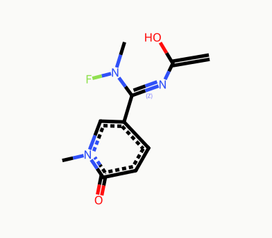 C=C(O)/N=C(/c1ccc(=O)n(C)c1)N(C)F